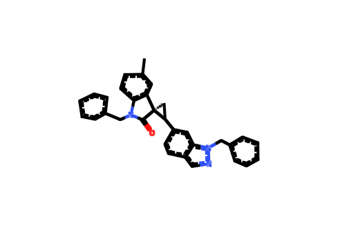 Cc1ccc2c(c1)[C@]1(CC1c1ccc3cnn(Cc4ccccc4)c3c1)C(=O)N2Cc1ccccc1